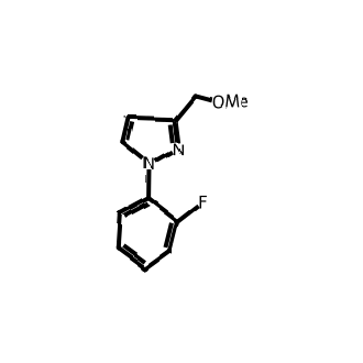 COCc1[c]cn(-c2ccccc2F)n1